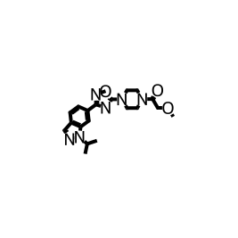 COCC(=O)N1CCN(c2nc(-c3ccc4cnn(C(C)C)c4c3)no2)CC1